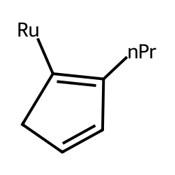 CCCC1=[C]([Ru])CC=C1